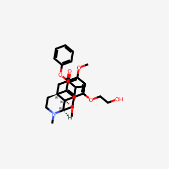 COc1cc(OCCO)c2c(c1Oc1ccccc1)[C@]13CCN(C)[C@H](C2)[C@]1(OC)CC(C)C(=O)C3